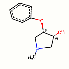 CN1C[C@@H](O)[C@H](Oc2ccccc2)C1